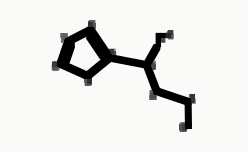 CCCC(F)C1=CC=CC1